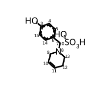 O=S(=O)(O)O.Oc1ccc(CN2CC=CCC2)cc1